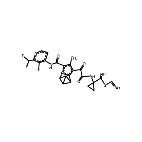 Cc1c(C(=O)C(=O)NC2(C(=N)SC=N)CC2)c2n(c1C(=O)Nc1ccnc(C(F)F)c1F)C1C3C2C31